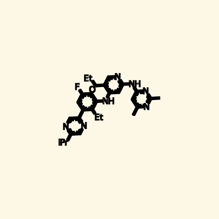 CCC(=O)c1cnc(Nc2cc(C)nc(C)n2)cc1Nc1cc(F)cc(-c2cnc(C(C)C)cn2)c1CC